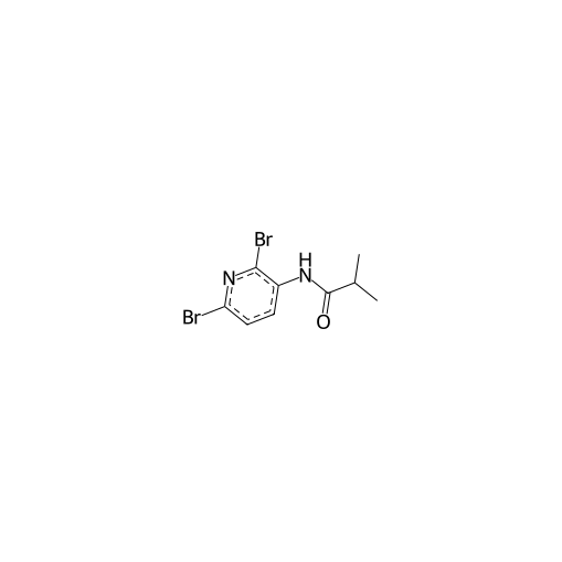 CC(C)C(=O)Nc1ccc(Br)nc1Br